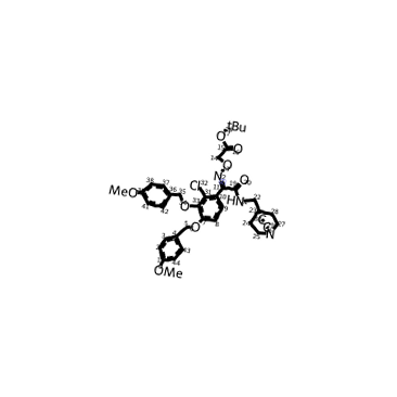 COc1ccc(COc2ccc(/C(=N/OCC(=O)OC(C)(C)C)C(=O)NCC34CCN(CC3)CC4)c(Cl)c2OCc2ccc(OC)cc2)cc1